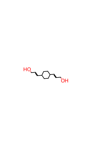 OCC=CC1CCC(C=CCO)CC1